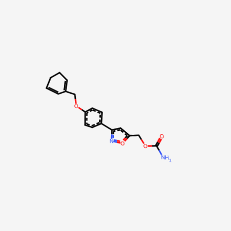 NC(=O)OCc1cc(-c2ccc(OCC3=CCCC=C3)cc2)no1